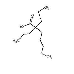 CCCCCC(CCC)(CCC)C(=O)O